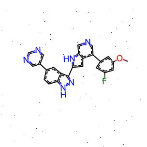 COc1cc(F)cc(-c2cncc3[nH]c(-c4n[nH]c5ccc(-c6cncnc6)cc45)cc23)c1